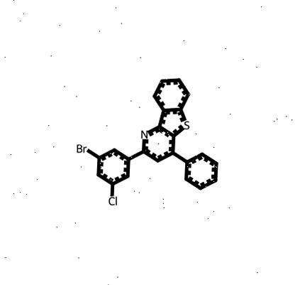 Clc1cc(Br)cc(-c2cc(-c3ccccc3)c3sc4ccccc4c3n2)c1